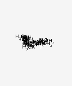 COC(=O)N[C@H](C(=O)N1CCC[C@H]1c1ncc(-c2ccc(-c3ccc(-c4cnc([C@@H]5CCCN5C(=O)[C@@H](NC(=O)OC)C(C)C)[nH]4)c4c3C3CCCC3C4C)cc2)[nH]1)C(C)C